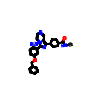 CCNC(=O)C1CCC(C2=C3C=NC=C[N+]3(N)C(c3cccc(OCc4ccccc4)c3)=N2)CC1